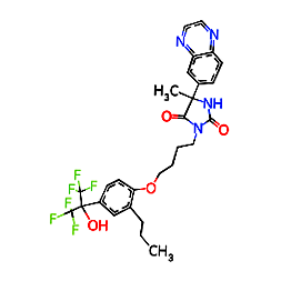 CCCc1cc(C(O)(C(F)(F)F)C(F)(F)F)ccc1OCCCCN1C(=O)NC(C)(c2ccc3nccnc3c2)C1=O